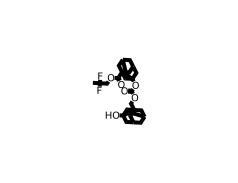 CC(F)(F)COC(=O)C12CC3CC(CC(OC(=O)OCC45CC6CC(CC(O)(C6)C4)C5)(C3)C1)C2